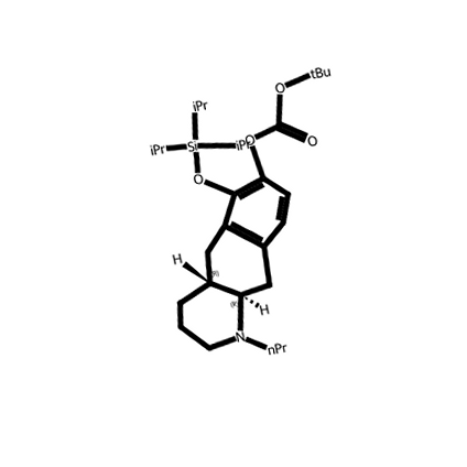 CCCN1CCC[C@@H]2Cc3c(ccc(OC(=O)OC(C)(C)C)c3O[Si](C(C)C)(C(C)C)C(C)C)C[C@H]21